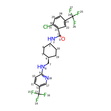 O=C(N[C@H]1CC[C@H](CNc2ccc(C(F)(F)F)cn2)CC1)c1cc(C(F)(F)F)ccc1Cl